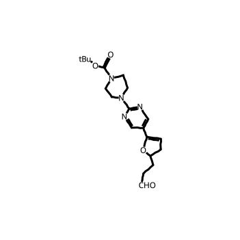 CC(C)(C)OC(=O)N1CCN(c2ncc(C3=CCC(CCC=O)O3)cn2)CC1